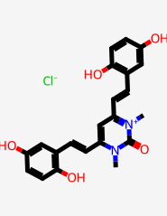 Cn1c(C=Cc2cc(O)ccc2O)cc(C=Cc2cc(O)ccc2O)[n+](C)c1=O.[Cl-]